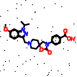 COc1ccc2c(CN3CCC4(CC3)CN(c3ccc(C(=O)O)cc3)C(=O)O4)nn(C(C)C)c2c1